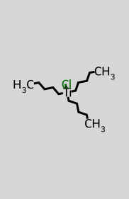 CCCC[CH2][Ti]([Cl])([CH2]CCCC)[CH2]CCCC